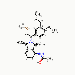 C=c1c2cccc(NC(C)=O)c2c(=C)n1C(CSC)c1ccc(CC)c(CCC)c1